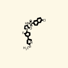 CSc1ccc(-c2ccc(N3CC[C@H](NS(=O)(=O)c4ccc5cc(Cl)ccc5c4)C3=O)c(F)c2)cn1